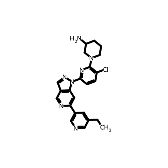 CCc1cncc(-c2cc3c(cn2)cnn3-c2ccc(Cl)c(N3CCCC(N)C3)n2)c1